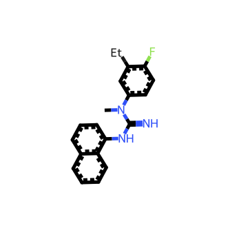 CCc1cc(N(C)C(=N)Nc2cccc3ccccc23)ccc1F